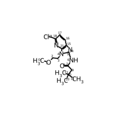 COCCn1c(NC(=O)CC(C)(C)C)nc2ccc(Cl)nc21